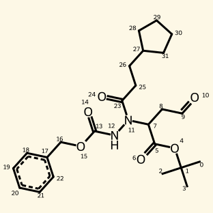 CC(C)(C)OC(=O)C(CC=O)N(NC(=O)OCc1ccccc1)C(=O)CCC1CCCC1